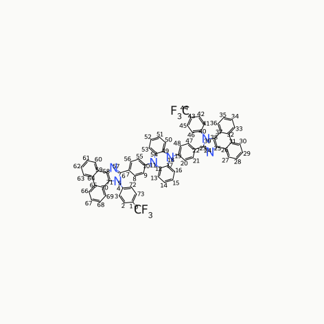 FC(F)(F)c1ccc(-n2c(-c3ccc(N4c5ccccc5N(c5ccc(-c6nc7c8ccccc8c8ccccc8c7n6-c6ccc(C(F)(F)F)cc6)cc5)c5ccccc54)cc3)nc3c4ccccc4c4ccccc4c32)cc1